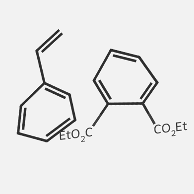 C=Cc1ccccc1.CCOC(=O)c1ccccc1C(=O)OCC